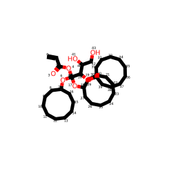 C=CC(=O)OC(OC1CCCCCCCCC1)(OC1CCCCCCCCC1)C(OC1CCCCCCCCC1)C(O)CO